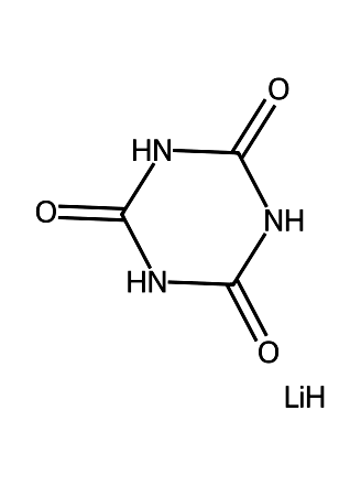 O=c1[nH]c(=O)[nH]c(=O)[nH]1.[LiH]